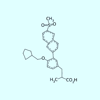 CC(Cc1ccc(OCC2CCCC2)c(-c2ccc3cc(S(C)(=O)=O)ccc3c2)c1)C(=O)O